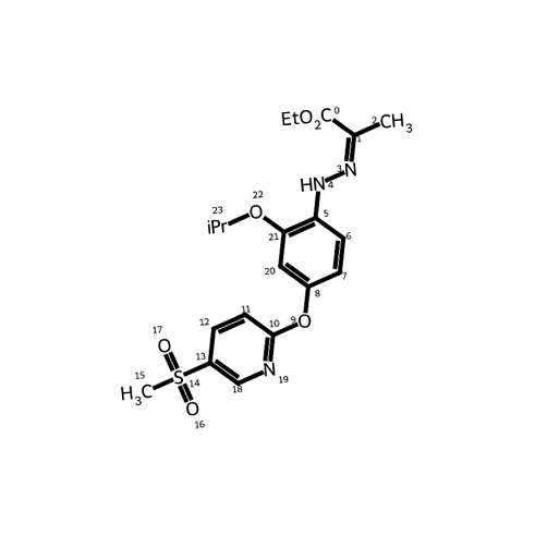 CCOC(=O)/C(C)=N\Nc1ccc(Oc2ccc(S(C)(=O)=O)cn2)cc1OC(C)C